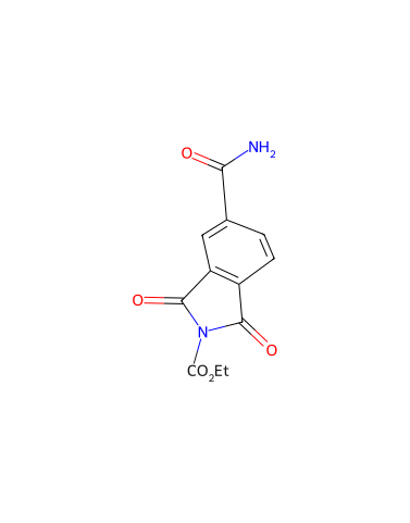 CCOC(=O)N1C(=O)c2ccc(C(N)=O)cc2C1=O